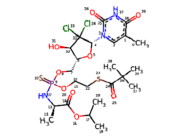 Cc1cn([C@@H]2O[C@H](COP(=S)(N[C@H](C)C(=O)OC(C)C)OCCSC(=O)C(C)(C)C)[C@@H](O)C2(Cl)Cl)c(=O)[nH]c1=O